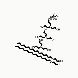 CCCCCCCCCCCCCCCCOCCO.CCCCCCCCCCCCCCCCOCCO.O=P(O)(O)O.OCCN(CCO)CCO.OCCN(CCO)CCO.OCCN(CCO)CCO